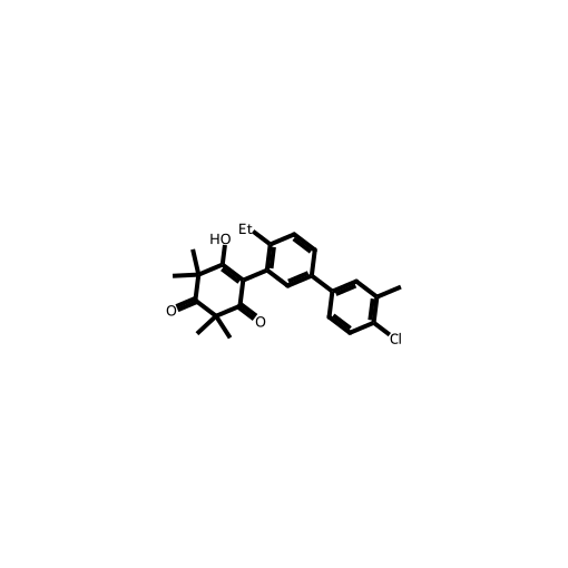 CCc1ccc(-c2ccc(Cl)c(C)c2)cc1C1=C(O)C(C)(C)C(=O)C(C)(C)C1=O